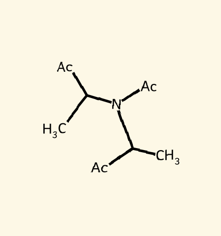 CC(=O)C(C)N(C(C)=O)C(C)C(C)=O